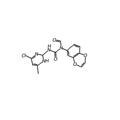 CC1=CC(Cl)=NC(NC(=O)N(C=O)c2ccc3c(c2)OC=CO3)N1